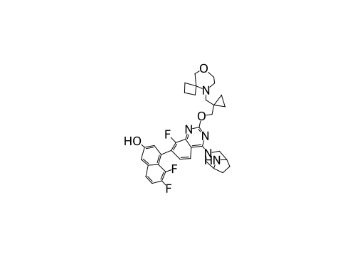 Oc1cc(-c2ccc3c(N4CC5CCC(C4)N5)nc(OCC4(CN5CCOCC56CCC6)CC4)nc3c2F)c2c(F)c(F)ccc2c1